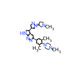 Cc1cc(-c2cc3c(-c4cnn([C@H]5CCN(C)C5)c4)c[nH]c3nn2)cc(C)c1N1CCN(C)CC1